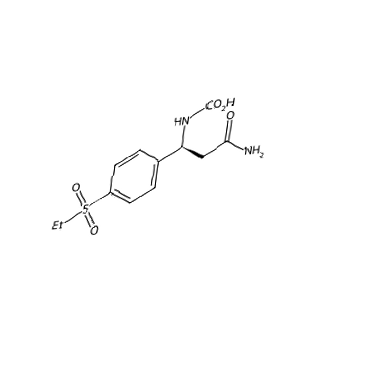 CCS(=O)(=O)c1ccc([C@H](CC(N)=O)NC(=O)O)cc1